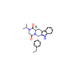 CCc1ccc([C@H]2c3[nH]c4ccccc4c3C[C@@H]3C(=O)N(C(C)C)CC(=O)N23)cc1